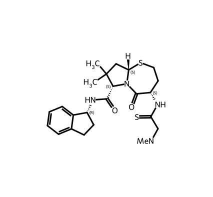 CNCC(=S)N[C@H]1CCS[C@H]2CC(C)(C)[C@@H](C(=O)N[C@@H]3CCc4ccccc43)N2C1=O